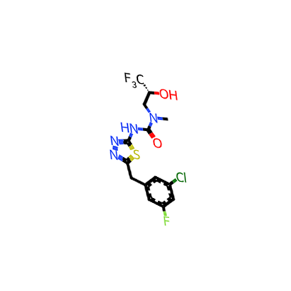 CN(C[C@@H](O)C(F)(F)F)C(=O)Nc1nnc(Cc2cc(F)cc(Cl)c2)s1